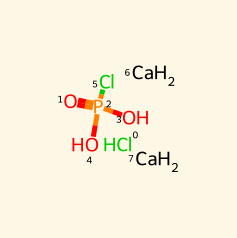 Cl.O=P(O)(O)Cl.[CaH2].[CaH2]